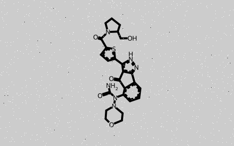 NC(=O)N(c1cccc2c1C(=O)c1c-2n[nH]c1-c1ccc(C(=O)N2CCCC2CO)s1)N1CCOCC1